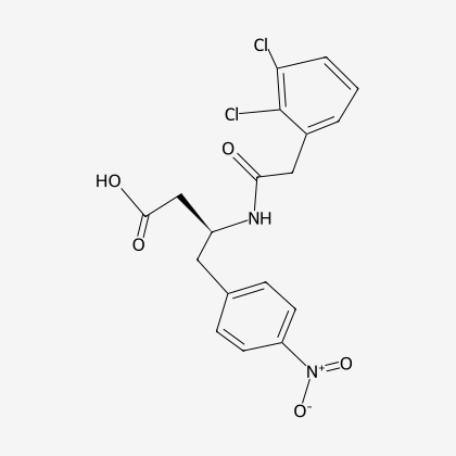 O=C(O)C[C@H](Cc1ccc([N+](=O)[O-])cc1)NC(=O)Cc1cccc(Cl)c1Cl